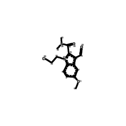 COc1ccc2c(c1)c(C=O)c(C(=O)N(C)C)n2CCCl